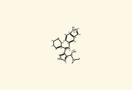 CN(C)C(O)c1n[nH]cc1/C(=N/c1ccc2[nH]ncc2c1)C1=CCCCC1